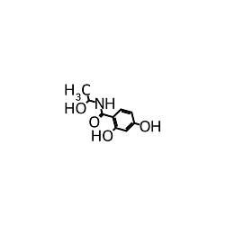 CC(O)NC(=O)c1ccc(O)cc1O